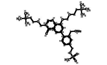 COCc1cc(COS(C)(=O)=O)ccc1-c1cc(OCOCC[Si](C)(C)C)c2ncn(COCC[Si](C)(C)C)c(=O)c2c1